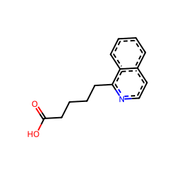 O=C(O)CCCCc1nccc2ccccc12